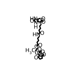 CC(C)C(OC(=O)CCCCNC(=O)CCCC[C@H]1C2NC(=O)NC2CS1(=O)=O)OC(=O)ON1C(=O)CCC1=O